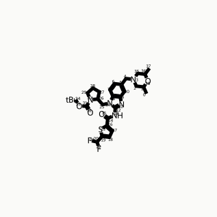 CC1CN(Cc2ccc3c(c2)nc(NC(=O)c2ccc(C(F)F)s2)n3CC2CCCN2C(=O)OC(C)(C)C)CC(C)O1